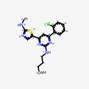 COCCCNc1nc(-c2cnc(NC(C)C)s2)cc(-c2ccccc2Cl)n1